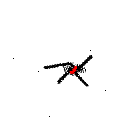 CCCCCCCCCCCCCCCCCCCC[N+](C)(C)CCC[Si](OCC(CO)(CO)NC(=O)CCCCCCCCCCC)(OCC(CO)(CO)NC(=O)CCCCCCCCCCCCC)OCC(CO)(CO)NC(=O)CCCCCCCCCCCCC